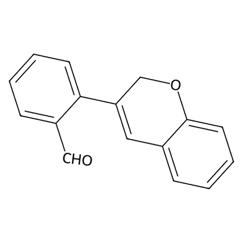 O=Cc1ccccc1C1=Cc2ccccc2OC1